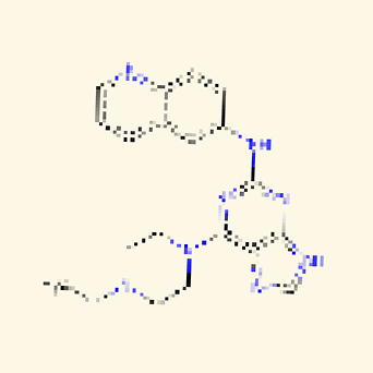 CCN1CCN(c2nc(Nc3ccc4ncccc4c3)nc3[nH]cnc23)CC1